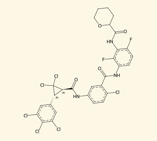 O=C(Nc1ccc(F)c(NC(=O)C2CCCCO2)c1F)c1cc(NC(=O)[C@H]2[C@H](c3cc(Cl)c(Cl)c(Cl)c3)C2(Cl)Cl)ccc1Cl